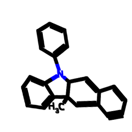 CC12C=c3c#cccc3=CC1N(c1ccccc1)c1ccccc12